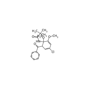 COC1=CC(Cl)=CC(C(=O)c2ccccc2)C1(NC(=O)C(C)(C)C)OC